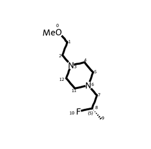 COCCN1CCN(C[C@H](C)F)CC1